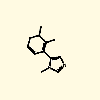 CC1=C(c2cncn2C)C=CCC1C